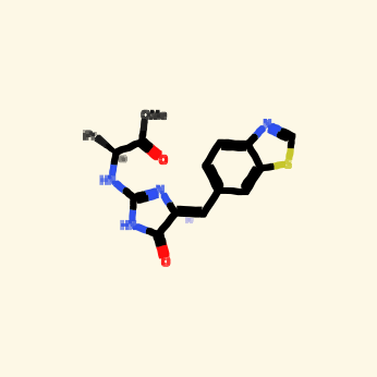 COC(=O)[C@@H](NC1=N/C(=C\c2ccc3ncsc3c2)C(=O)N1)C(C)C